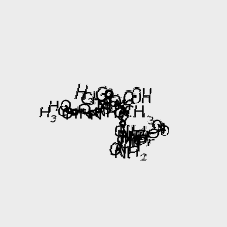 Cc1cccc2c(OC(=O)N(CCOCCO)CCN(C)C(=O)OCc3ccc(NC(=O)[C@H](CCCNC(N)=O)NC(=O)[C@@H](NC(=O)OCCOCCN4C(=O)C=CC4=O)C(C)C)cc3)cc3c(c12)C(CCl)CN3C(=O)c1cc2cc(NC(=O)c3ccc(OC(C)CO)cc3)cnc2[nH]1